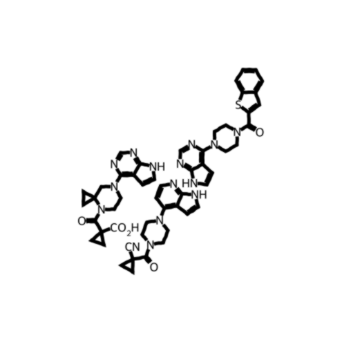 N#CC1(C(=O)N2CCN(c3ccnc4[nH]ccc34)CC2)CC1.O=C(O)C1(C(=O)N2CCN(c3ncnc4[nH]ccc34)CC23CC3)CC1.O=C(c1cc2ccccc2s1)N1CCN(c2ncnc3[nH]ccc23)CC1